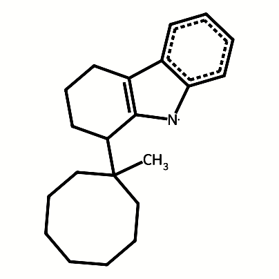 CC1(C2CCCC3=C2[N]c2ccccc23)CCCCCCC1